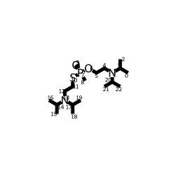 CC(C)N(CCOP(C)(=O)SCCN(C(C)C)C(C)C)C(C)C